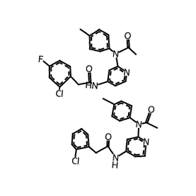 CC(=O)N(c1ccc(C)cc1)c1cc(NC(=O)Cc2ccc(F)cc2Cl)ccn1.CC(=O)N(c1ccc(C)cc1)c1cc(NC(=O)Cc2ccccc2Cl)ccn1